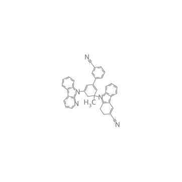 CC1(n2c3c(c4ccccc42)C=C(C#N)CC3)C=C(c2cccc(C#N)c2)C=C(n2c3ccccc3c3cccnc32)C1